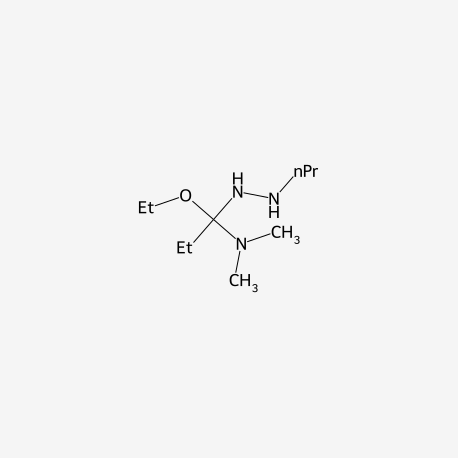 CCCNNC(CC)(OCC)N(C)C